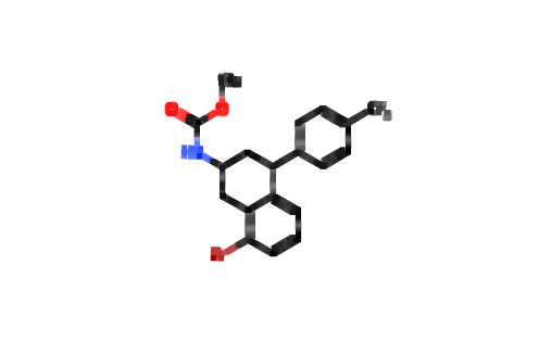 CC(C)(C)OC(=O)NC1Cc2c(Br)cccc2C(c2ccc(C(F)(F)F)cc2)C1